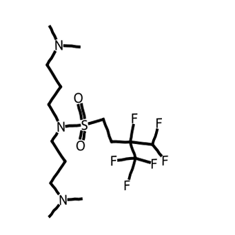 CN(C)CCCN(CCCN(C)C)S(=O)(=O)CCC(F)(C(F)F)C(F)(F)F